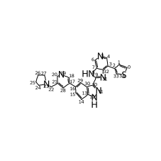 c1cc(-c2cncc3[nH]c(-c4n[nH]c5ccc(-c6cncc(CN7CCCC7)c6)cc45)nc23)cs1